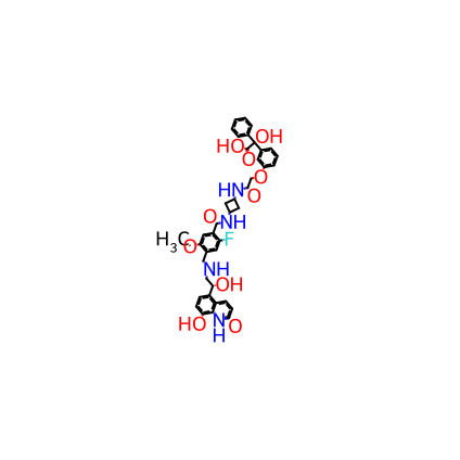 COc1cc(C(=O)NC2CC(NC(=O)COc3cccc([C@](O)(C(=O)O)c4ccccc4)c3)C2)c(F)cc1CNC[C@H](O)c1ccc(O)c2[nH]c(=O)ccc12